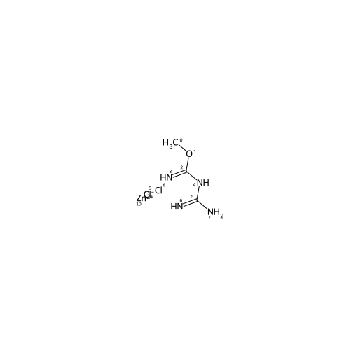 COC(=N)NC(=N)N.[Cl-].[Cl-].[Zn+2]